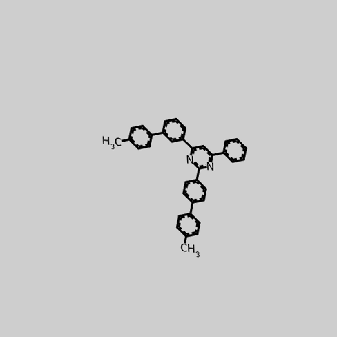 Cc1ccc(-c2ccc(-c3nc(-c4ccccc4)cc(-c4cccc(-c5ccc(C)cc5)c4)n3)cc2)cc1